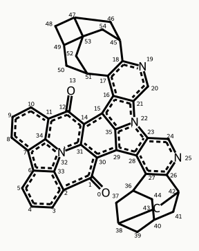 O=c1c2cccc3c4cccc5c(=O)c6c7c8c9c(ncc8n8c%10cnc%11c(c%10c(c1c6n(c23)c54)c78)C1CC2CC(CC%11C2)C1)C1CC2CC3CC9CC23C1